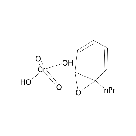 CCCC12C=CC=CC1O2.[O]=[Cr](=[O])([OH])[OH]